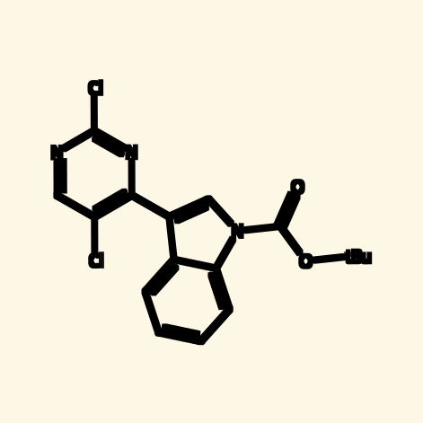 CC(C)(C)OC(=O)n1cc(-c2nc(Cl)ncc2Cl)c2ccccc21